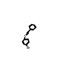 Brc1ccc(SC#Cc2ccccc2)cc1